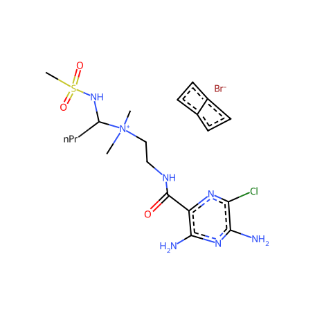 CCCC(NS(C)(=O)=O)[N+](C)(C)CCNC(=O)c1nc(Cl)c(N)nc1N.[Br-].c1cc2ccc1-2